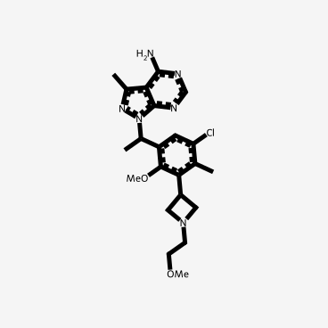 COCCN1CC(c2c(C)c(Cl)cc(C(C)n3nc(C)c4c(N)ncnc43)c2OC)C1